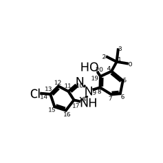 CC(C)(C)c1cccc(N2N=C3C=C(Cl)C=CC3N2)c1O